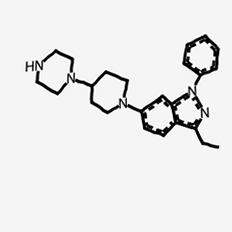 CCc1nn(-c2ccccc2)c2cc(N3CCC(N4CCNCC4)CC3)ccc12